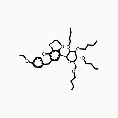 CCCCOC[C@H]1O[C@@H](c2cc(Cc3ccc(OCC)cc3)c(Cl)c3c2OCCO3)[C@H](OCCCC)[C@@H](OCCCC)[C@@H]1OCCCC